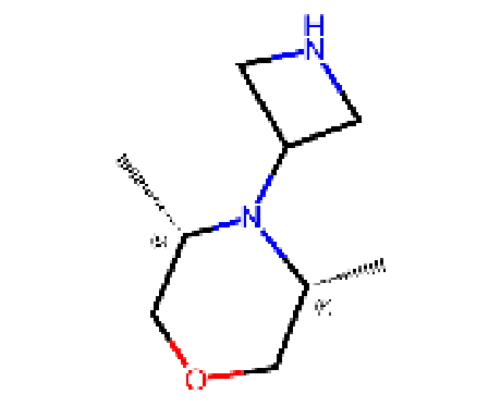 C[C@@H]1COC[C@H](C)N1C1CNC1